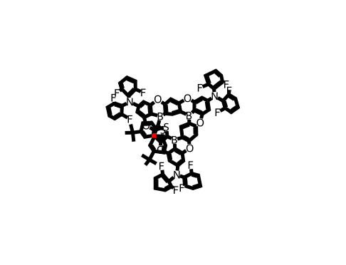 CC(C)(C)c1ccc2sc3c(c2c1)Oc1cc(N(c2c(F)cccc2F)c2c(F)cccc2F)cc2c1B3c1cc3c(cc1O2)Oc1cc(N(c2c(F)cccc2F)c2c(F)cccc2F)cc2c1B3c1cc3c(cc1O2)Oc1cc(N(c2c(F)cccc2F)c2c(F)cccc2F)cc2c1B3c1sc3ccc(C(C)(C)C)cc3c1O2